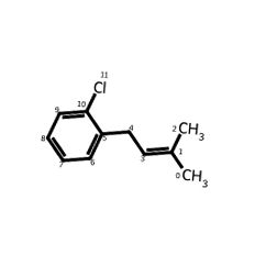 CC(C)=CCc1ccccc1Cl